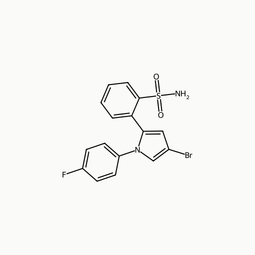 NS(=O)(=O)c1ccccc1-c1cc(Br)cn1-c1ccc(F)cc1